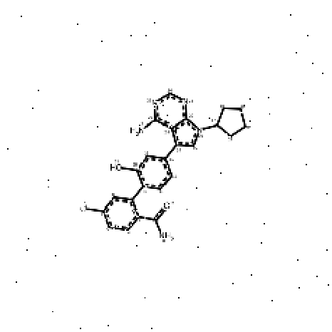 NC(=O)c1ccc(Cl)cc1-c1ccc(-c2cn(C3CCCC3)c3ncnc(N)c23)cc1O